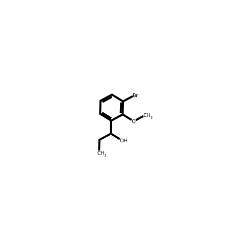 CCC(O)c1cccc(Br)c1OC